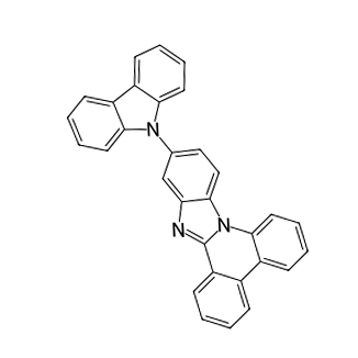 c1ccc2c(c1)c1ccccc1n1c3ccc(-n4c5ccccc5c5ccccc54)cc3nc21